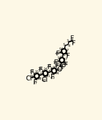 FC(F)=CCCc1cc(F)c(-c2cc(F)c(C(F)(F)Oc3cc(F)c(-c4cc(F)c(-c5cc(F)c(Cl)c(F)c5)c(Cl)c4)c(F)c3)c(F)c2)c(F)c1